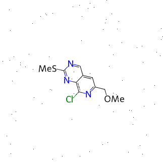 COCc1cc2cnc(SC)nc2c(Cl)n1